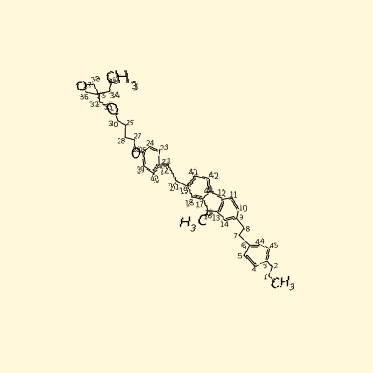 CCCc1ccc(CCc2ccc3c(c2)C(C)c2cc(CCc4ccc(OCCCCOCC5(CC)COC5)cc4)ccc2-3)cc1